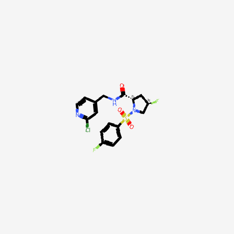 O=C(NCc1ccnc(Cl)c1)[C@@H]1C[C@@H](F)CN1S(=O)(=O)c1ccc(F)cc1